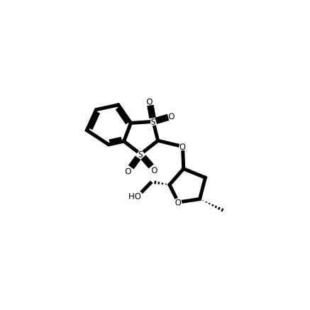 C[C@H]1CC(OC2S(=O)(=O)c3ccccc3S2(=O)=O)[C@@H](CO)O1